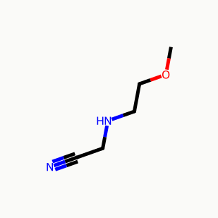 COCCNCC#N